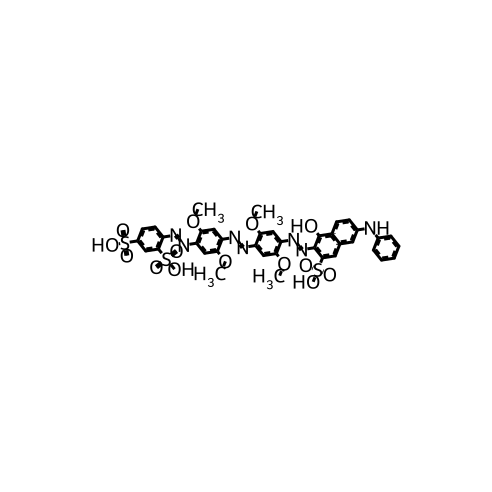 COc1cc(N=Nc2ccc(S(=O)(=O)O)cc2S(=O)(=O)O)c(OC)cc1N=Nc1cc(OC)c(N=Nc2c(S(=O)(=O)O)cc3cc(Nc4ccccc4)ccc3c2O)cc1OC